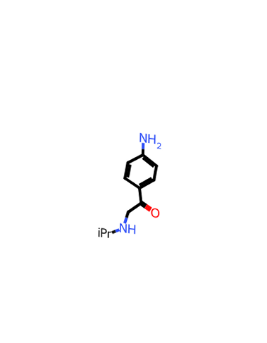 CC(C)NCC(=O)c1ccc(N)cc1